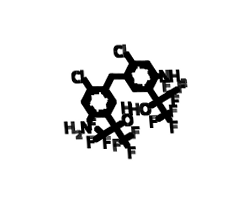 Nc1cc(Cl)c(Cc2cc(C(O)(C(F)(F)F)C(F)(F)F)c(N)cc2Cl)cc1C(O)(C(F)(F)F)C(F)(F)F